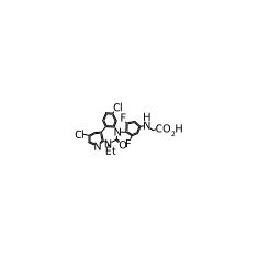 CCN1C(=O)N(c2c(F)cc(NCC(=O)O)cc2F)c2cc(Cl)ccc2-c2cc(Cl)cnc21